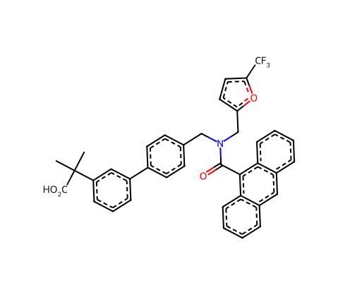 CC(C)(C(=O)O)c1cccc(-c2ccc(CN(Cc3ccc(C(F)(F)F)o3)C(=O)c3c4ccccc4cc4ccccc34)cc2)c1